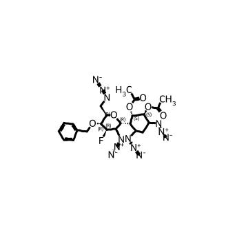 CC(=O)O[C@H]1C(N=[N+]=[N-])CC(N=[N+]=[N-])C([C@H]2O[C@H](CN=[N+]=[N-])[C@@H](OCc3ccccc3)[C@H](F)C2N=[N+]=[N-])[C@@H]1OC(C)=O